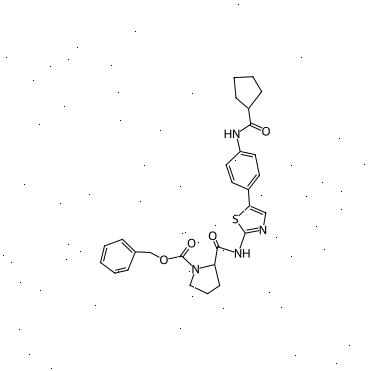 O=C(Nc1ccc(-c2cnc(NC(=O)C3CCCN3C(=O)OCc3ccccc3)s2)cc1)C1CCCC1